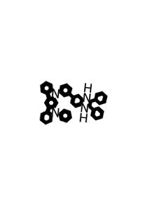 C1=CCC(C2NC3CC(c4cccc(-n5c6ccccc6c6cc7c8c(n(-c9ccccc9)c7cc65)CCC=C8)c4)=CC=C3NC2C2=CCCC=C2)C=C1